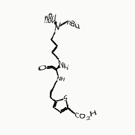 CCCCN(CCCC)CCCNC(=O)NCc1ccc(C(=O)O)s1